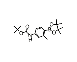 Cc1cc(NC(=O)OC(C)(C)C)ccc1B1OC(C)(C)C(C)(C)O1